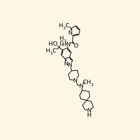 Cc1cccc(C(=O)Nc2cc3cn(C4CCN(CN(C)C5CCC6(CCNCC6)CC5)CC4)nc3cc2C(C)(C)O)n1